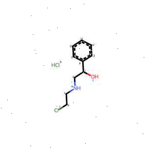 Cl.OC(CNCCCl)c1ccccc1